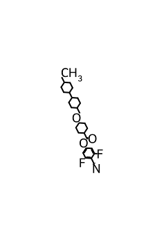 CCC1CCC(C2CCC(COC3CCC(C(=O)Oc4cc(F)c(C#N)c(F)c4)CC3)CC2)CC1